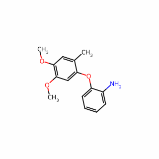 COc1cc(C)c(Oc2ccccc2N)cc1OC